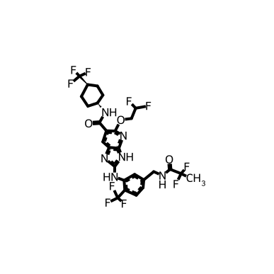 CC(F)(F)C(=O)NCc1ccc(C(F)(F)F)c(Nc2nc3cc(C(=O)N[C@H]4CC[C@H](C(F)(F)F)CC4)c(OCC(F)F)nc3[nH]2)c1